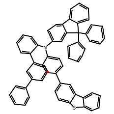 c1ccc(-c2cccc(-c3ccccc3N(c3ccc(-c4ccc5sc6ccccc6c5c4)cc3)c3ccc4c(c3)C(c3ccccc3)(c3ccccc3)c3ccccc3-4)c2)cc1